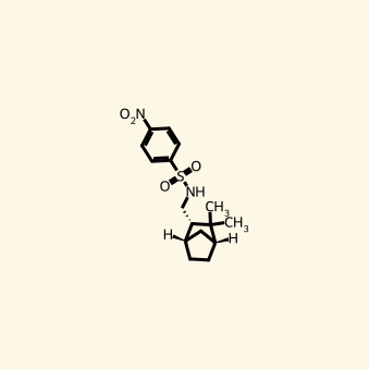 CC1(C)[C@@H]2CC[C@@H](C2)[C@@H]1CNS(=O)(=O)c1ccc([N+](=O)[O-])cc1